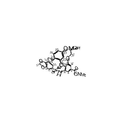 COC(=O)c1cc(NS(=O)(=O)c2ccc3c(c2)OCO3)c(Oc2cc(OC)ccc2Cl)c(OCCO)c1